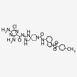 Cc1ccc(S(=O)(=O)n2ccc3c(NC(=O)N4CCC5(CC4)CN/C(=N\C(=O)c4nc(Cl)c(N)nc4N)N5)cccc32)cc1